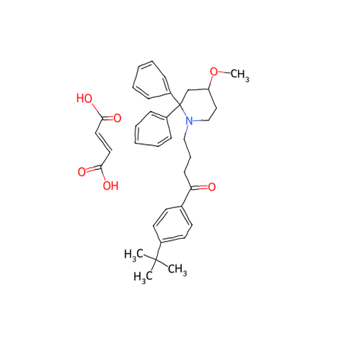 COC1CCN(CCCC(=O)c2ccc(C(C)(C)C)cc2)C(c2ccccc2)(c2ccccc2)C1.O=C(O)C=CC(=O)O